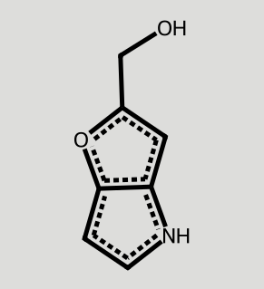 OCc1cc2[nH]ccc2o1